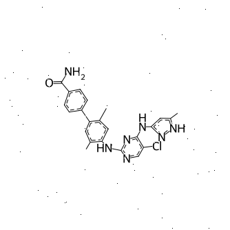 Cc1cc(Nc2nc(Nc3cc(C)c(-c4ccc(C(N)=O)cc4)cc3C)ncc2Cl)n[nH]1